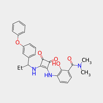 CCC(Nc1c(Nc2cccc(C(=O)N(C)C)c2O)c(=O)c1=O)c1cccc(Oc2ccccc2)c1